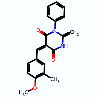 C=c1[nH]c(=O)/c(=C\c2ccc(OC)c(C)c2)c(=O)n1-c1ccccc1